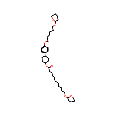 O=C(CCCCCCCCCCOC1CCCCO1)OC1CCC(c2ccc(OCCCCCCOC3CCCCO3)cc2)CC1